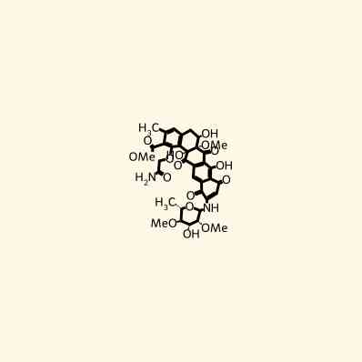 COC(=O)c1c(C)cc2c(c1OCC(N)=O)[C@]1(O)C(=O)c3cc4c(c(O)c3C(=O)[C@]1(OC)[C@H](O)C2)C(=O)C=C(NC1O[C@@H](C)[C@H](OC)[C@@H](O)[C@H]1OC)C4=O